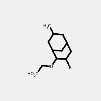 CCC1CC2CC(C)CC(C2)C1OCC(=O)O